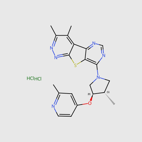 Cc1cc(O[C@H]2CN(c3ncnc4c3sc3nnc(C)c(C)c34)C[C@@H]2C)ccn1.Cl.Cl